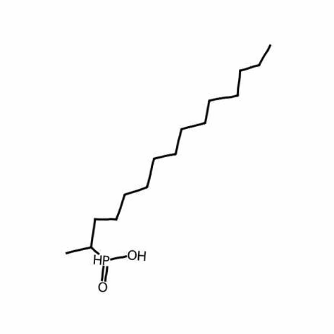 CCCCCCCCCCCCCC(C)[PH](=O)O